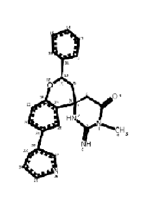 CN1C(=N)N[C@@]2(CC1=O)C[C@H](c1ccccc1)Oc1ccc(-c3cccnc3)cc12